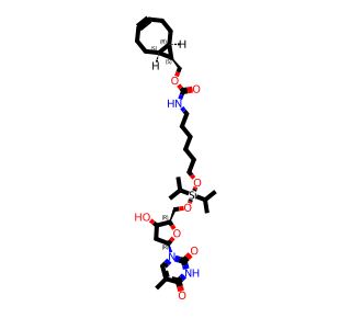 Cc1cn([C@H]2CC(O)[C@@H](CO[Si](OCCCCCCNC(=O)OC[C@@H]3[C@@H]4CCC#CCC[C@@H]43)(C(C)C)C(C)C)O2)c(=O)[nH]c1=O